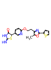 Cc1oc(-c2cccs2)nc1CCOc1ccc(C2SC(=N)NC2=O)cn1